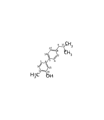 Cc1ccc(-c2ccc(CC(C)C)cc2)cc1O